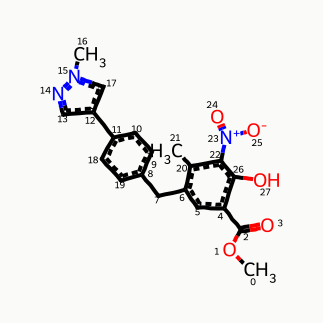 COC(=O)c1cc(Cc2ccc(-c3cnn(C)c3)cc2)c(C)c([N+](=O)[O-])c1O